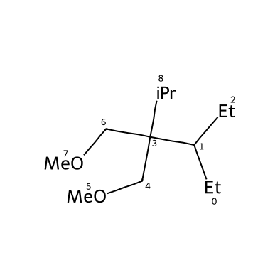 CCC(CC)C(COC)(COC)C(C)C